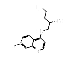 CNC(CCN)CNc1ccnc2cc(Cl)ccc12